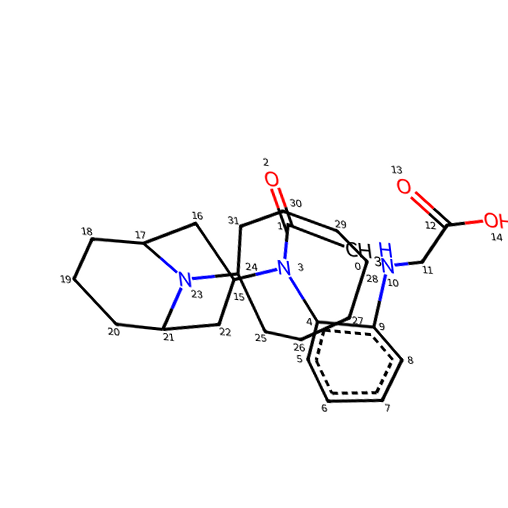 CC(=O)N(c1ccccc1NCC(=O)O)C1CC2CCCC(C1)N2C1CCCCCCC1